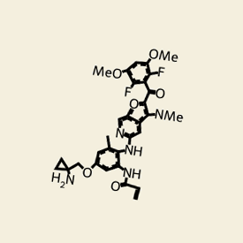 C=CC(=O)Nc1cc(OCC2(N)CC2)cc(C)c1Nc1cc2c(NC)c(C(=O)c3c(F)c(OC)cc(OC)c3F)oc2cn1